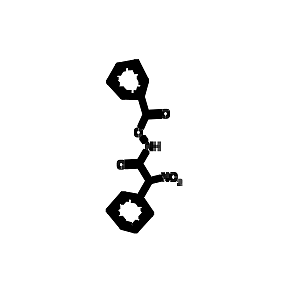 O=C(ONC(=O)C(c1ccccc1)[N+](=O)[O-])c1ccccc1